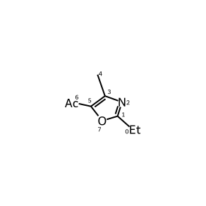 CCc1nc(C)c(C(C)=O)o1